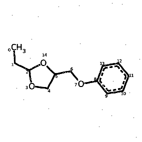 CCC1OCC(COc2cc[c]cc2)O1